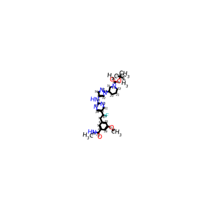 CNC(=O)c1cc(CC(F)c2cnc(Nc3cnn(C4CCCN(C(=O)OC(C)(C)C)C4)c3)nc2)cc(OC)c1